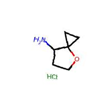 Cl.NC1CCOC12CC2